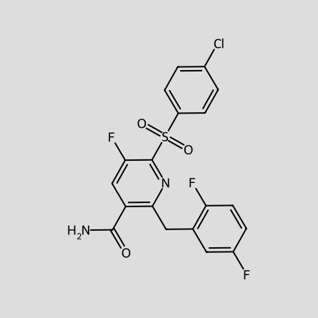 NC(=O)c1cc(F)c(S(=O)(=O)c2ccc(Cl)cc2)nc1Cc1cc(F)ccc1F